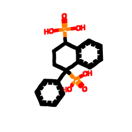 O=P(O)(O)C1CCC(c2ccccc2)(P(=O)(O)O)c2ccccc21